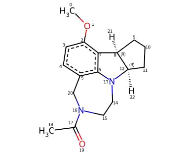 COc1ccc2c3c1[C@H]1CCC[C@H]1N3CCN(C(C)=O)C2